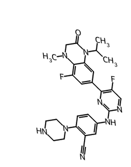 CC(C)N1C(=O)CN(C)c2c(F)cc(-c3nc(Nc4ccc(N5CCNCC5)c(C#N)c4)ncc3F)cc21